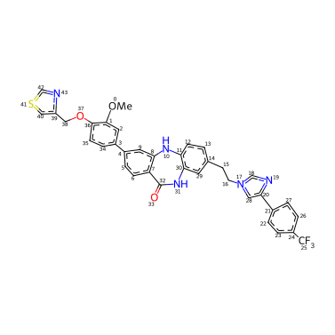 COc1cc(-c2ccc3c(c2)Nc2ccc(CCn4cnc(-c5ccc(C(F)(F)F)cc5)c4)cc2NC3=O)ccc1OCc1cscn1